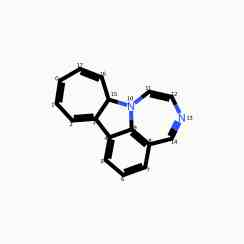 C1=CC=C2c3cccc4c3N(C=CN=C4)C2C=C1